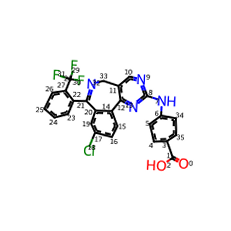 O=C(O)c1ccc(Nc2ncc3c(n2)-c2ccc(Cl)cc2C(c2ccccc2C(F)(F)F)=NC3)cc1